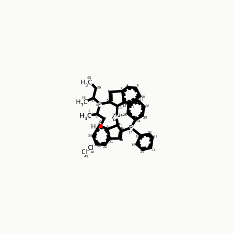 CCC(C)P(C1=Cc2ccccc2[CH]1[Zr+2][CH]1C(P(c2ccccc2)c2ccccc2)=Cc2ccccc21)C(C)CC.[Cl-].[Cl-]